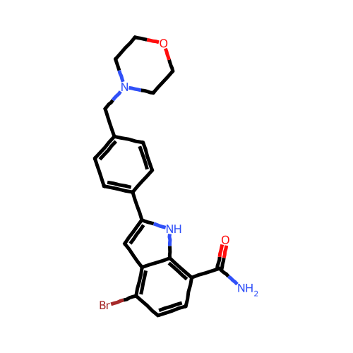 NC(=O)c1ccc(Br)c2cc(-c3ccc(CN4CCOCC4)cc3)[nH]c12